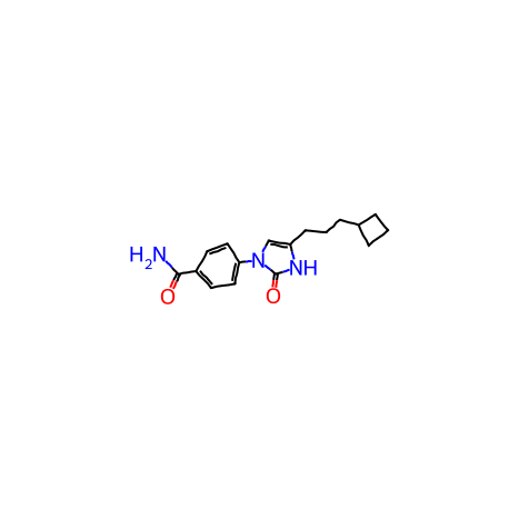 NC(=O)c1ccc(-n2cc(CCCC3CCC3)[nH]c2=O)cc1